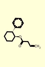 C=CCC(=O)O[C@H]1CCCC[C@@H]1c1ccccc1